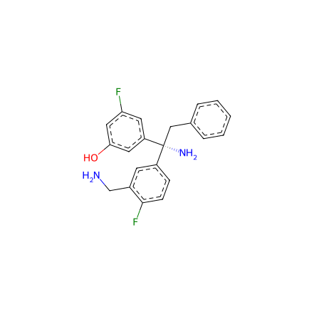 NCc1cc([C@](N)(Cc2ccccc2)c2cc(O)cc(F)c2)ccc1F